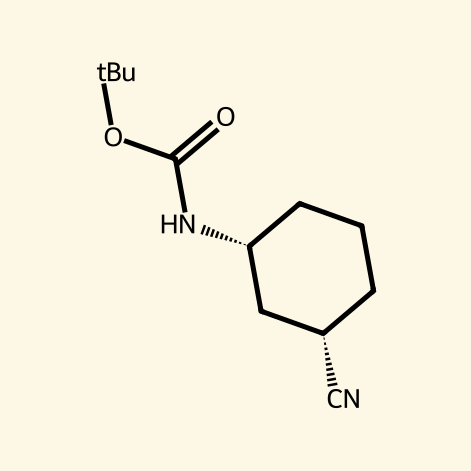 CC(C)(C)OC(=O)N[C@@H]1CCC[C@H](C#N)C1